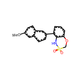 COc1ccc2cc(-c3cccc4c3NS(=O)(=O)CO4)ccc2c1